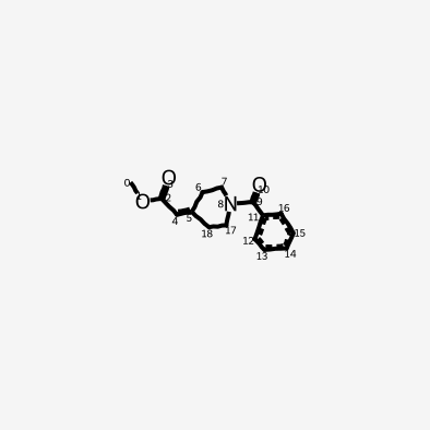 COC(=O)C=C1CCN(C(=O)c2ccccc2)CC1